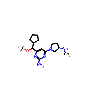 CN[C@@H]1CCN(c2cc(C(OC)C3CCCC3)nc(N)n2)C1